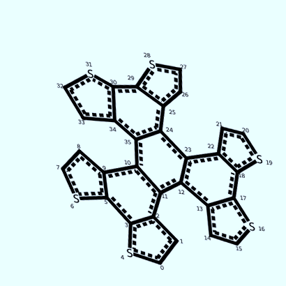 c1cc2c(s1)c1sccc1c1c2c2c3ccsc3c3sccc3c2c2c3ccsc3c3sccc3c12